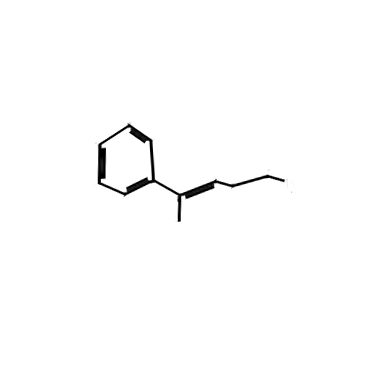 CC(=CCCBr)c1ccccc1